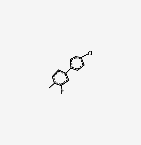 Cc1ccc(-c2ccc(Cl)cc2)cc1F